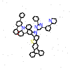 c1ccc(-c2ccc(-c3ccccc3)c(N(c3ccccc3)c3ccccc3-c3ccc4c(c3)c3c5sc6cc7c8ccccc8c8ccccc8c7cc6c5ccc3n4-c3cc(-c4cccc(-c5ccccn5)c4)nc(-c4ccccc4)n3)c2)cc1